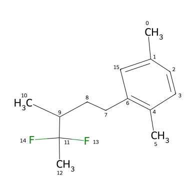 Cc1ccc(C)c(CCC(C)C(C)(F)F)c1